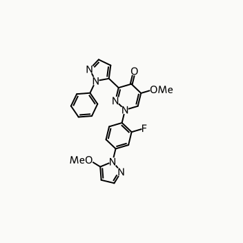 COc1cn(-c2ccc(-n3nccc3OC)cc2F)nc(-c2ccnn2-c2ccccc2)c1=O